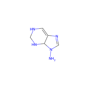 NN1C=NC2=CNCNC21